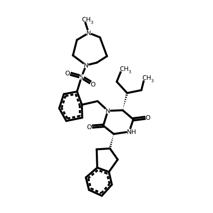 CCC(CC)[C@@H]1C(=O)N[C@H](C2Cc3ccccc3C2)C(=O)N1Cc1ccccc1S(=O)(=O)N1CCCN(C)CC1